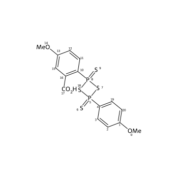 COc1ccc(P2(=S)SP(=S)(c3ccc(OC)cc3C(=O)O)S2)cc1